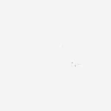 [NH]CC(=O)c1ccccc1